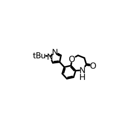 CC(C)(C)n1cc(-c2cccc3c2OCCC(=O)N3)cn1